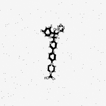 O=C(O)N1CCN(c2ccc(-c3ccc(C(F)(F)C(O)(Cn4cnnn4)c4ccc(F)cc4F)nc3)cc2)CC1